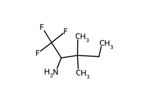 CCC(C)(C)C(N)C(F)(F)F